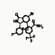 NC(=O)c1cc(C(F)(F)F)cc(F)c1-c1cc(Br)cc2c1C(c1cc(F)ccc1Cl)NC2=O